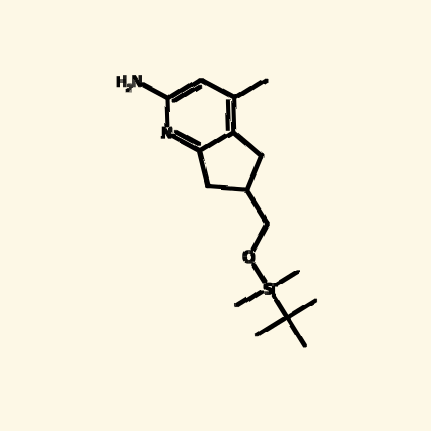 Cc1cc(N)nc2c1CC(CO[Si](C)(C)C(C)(C)C)C2